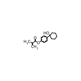 C=C(C)C(=O)Oc1ccc(C2(O)CCCCC2)cc1